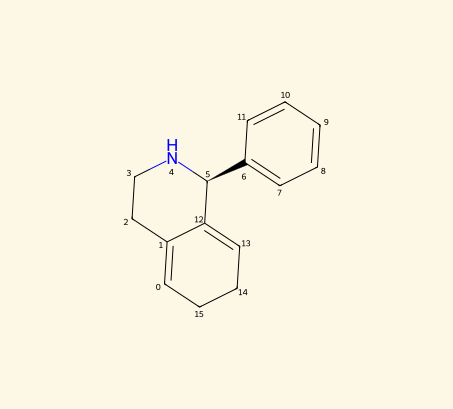 C1=C2CCN[C@@H](c3ccccc3)C2=CCC1